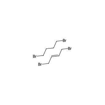 BrCC=CCBr.BrCCCCBr